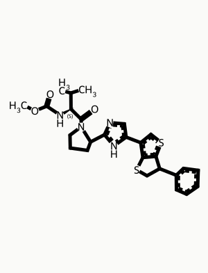 COC(=O)N[C@H](C(=O)N1CCCC1c1ncc(-c2csc3c2SCC3c2ccccc2)[nH]1)C(C)C